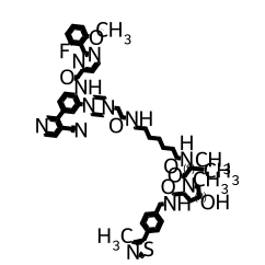 COc1cccc(F)c1-c1nccc(C(=O)Nc2ccc(-c3cnccc3C#N)cc2N2CCN(CC(=O)NCCCCCCC(=O)N[C@H](C(=O)N3C[C@H](O)CC3C(=O)NCc3ccc(-c4scnc4C)cc3)C(C)(C)C)CC2)n1